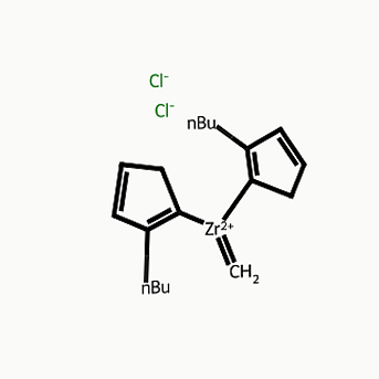 [CH2]=[Zr+2]([C]1=C(CCCC)C=CC1)[C]1=C(CCCC)C=CC1.[Cl-].[Cl-]